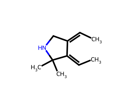 C/C=C1/CNC(C)(C)/C1=C/C